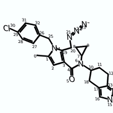 Cc1cc(C(=O)N(C2CC2)C2CCc3n[nH]cc3C2)c(CN=[N+]=[N-])n1Cc1ccc(Cl)cc1